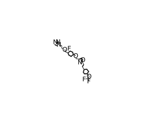 Fc1cc(OCc2coc(C=Cc3ccc(OC(F)F)cc3)n2)ccc1COCCn1ccnn1